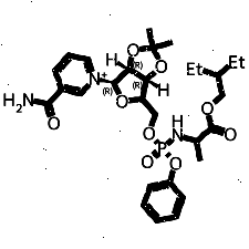 CCC(CC)COC(=O)C(C)NP(=O)(OCC1O[C@@H]([n+]2cccc(C(N)=O)c2)[C@@H]2OC(C)(C)O[C@H]12)Oc1ccccc1